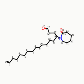 C=CCCCCCCCCCCCCC(CCC=O)N1CCCCCC1=O